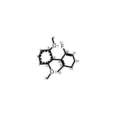 COc1cccc(OC)c1C1=C(C)CCC=C1F